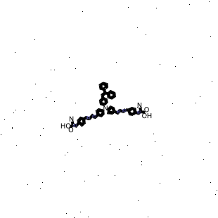 N#C/C(=C\c1ccc(/C=C/C=C/c2ccc(N(c3ccc(C=C(c4ccccc4)c4ccccc4)cc3)c3ccc(/C=C/C=C/c4ccc(/C=C(\C#N)C(=O)O)cc4)cc3)cc2)cc1)C(=O)O